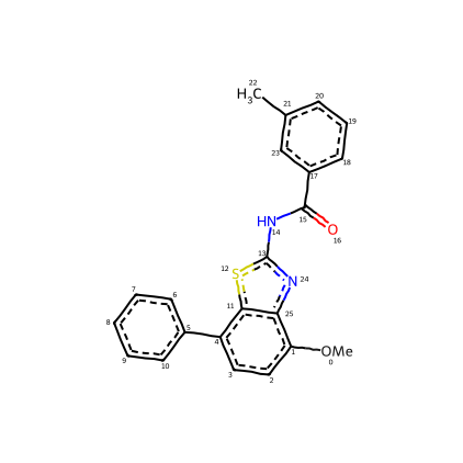 COc1ccc(-c2ccccc2)c2sc(NC(=O)c3cccc(C)c3)nc12